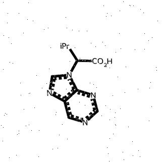 CC(C)C(C(=O)O)n1cnc2cncnc21